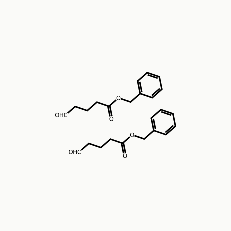 O=CCCCC(=O)OCc1ccccc1.O=CCCCC(=O)OCc1ccccc1